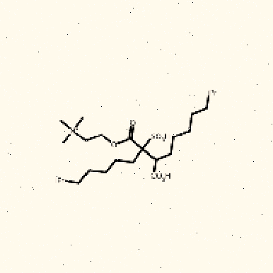 CC(C)CCCCCC(C(=O)O)C(CCCCCC(C)C)(C(=O)OCC[N+](C)(C)C)S(=O)(=O)O